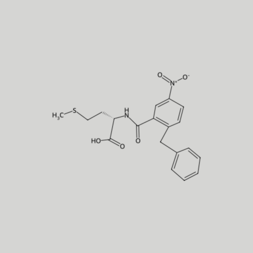 CSCC[C@H](NC(=O)c1cc([N+](=O)[O-])ccc1Cc1ccccc1)C(=O)O